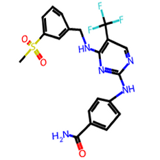 CS(=O)(=O)c1cccc(CNc2nc(Nc3ccc(C(N)=O)cc3)ncc2C(F)(F)F)c1